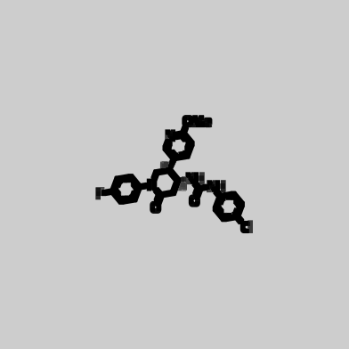 COc1ccc([C@@H]2CN(c3ccc(F)cc3)C(=O)C[C@H]2NC(=O)Nc2ccc(Cl)cc2)cn1